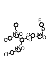 COc1ccc(-c2cc(-c3cc(CCn4nc(-c5ccc(Cl)cc5)ccc4=O)cc(C4COc5ccc(-c6ccc(=O)n(CCOc7ccc(F)cc7)n6)cc5OC4)c3)c(=O)n(CCc3ccccc3)n2)cc1